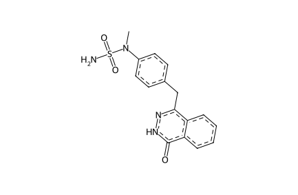 CN(c1ccc(Cc2n[nH]c(=O)c3ccccc23)cc1)S(N)(=O)=O